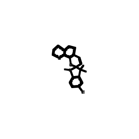 CN1c2ccc(Cl)cc2C(C)(C)C12C=Cc1ccc3cccnc3c1O2